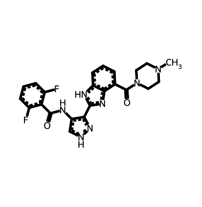 CN1CCN(C(=O)c2cccc3[nH]c(-c4n[nH]cc4NC(=O)c4c(F)cccc4F)nc23)CC1